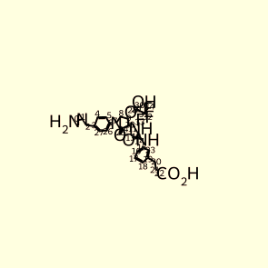 NN=Cc1ccc(N2CC[C@H](NC(=O)Nc3cccc(CCC(=O)O)c3)C2=O)cc1.O=C(O)C(F)(F)F